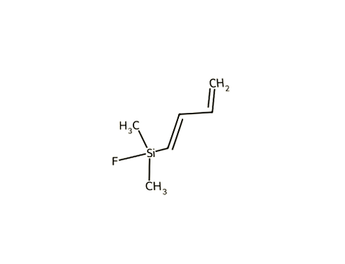 C=CC=C[Si](C)(C)F